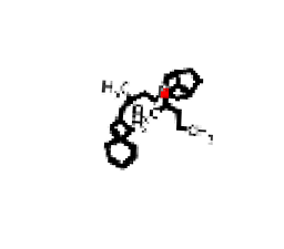 CCCC(C)CC1C2CCC1CN(CCC(C)(C)CC1CC3(CCCCC3)C1)C2